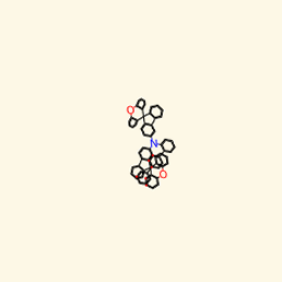 c1ccc(-c2ccc(-c3ccccc3N(c3ccc4c(c3)-c3ccccc3C43c4ccccc4Oc4ccccc43)c3ccc4c(c3)C3(c5ccccc5Oc5ccccc53)c3ccccc3-4)cc2)cc1